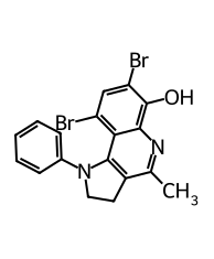 Cc1nc2c(O)c(Br)cc(Br)c2c2c1CCN2c1ccccc1